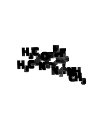 CNc1cnc(-c2nc(C)c(C)o2)c(C(F)(F)F)c1